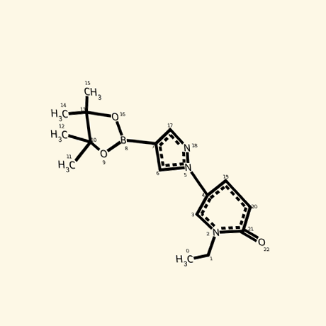 CCn1cc(-n2cc(B3OC(C)(C)C(C)(C)O3)cn2)ccc1=O